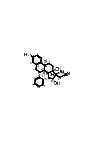 C[C@]12CC[C@@H]3c4ccc(O)cc4C[C@@H](c4ccccc4)[C@H]3[C@@H]1C[C@@H](O)[C@@]2(O)CC#N